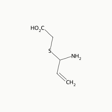 C=CC(N)SCC(=O)O